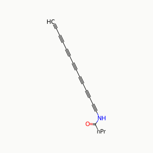 C#CC#CC#CC#CC#CC#CC#CNC(=O)CCC